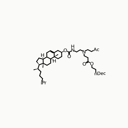 CCCCCCCCCCCCOC(=O)CCN(CCNC(=O)O[C@H]1CC[C@@]2(C)C(=CCC3[C@@H]4CC[C@H]([C@H](C)CCCC(C)C)[C@@]4(C)CC[C@@H]32)C1)CCC(C)=O